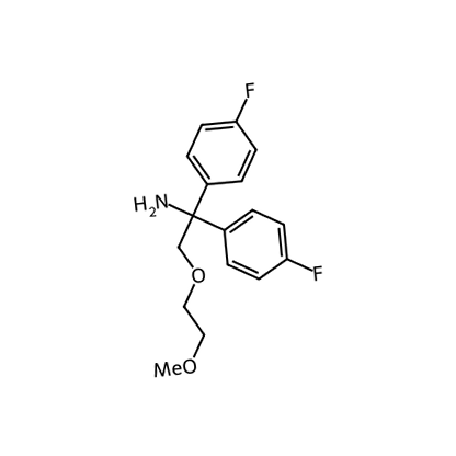 COCCOCC(N)(c1ccc(F)cc1)c1ccc(F)cc1